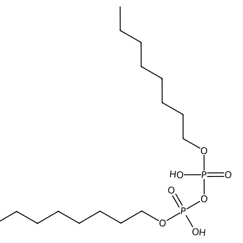 CCCCCCCCOP(=O)(O)OP(=O)(O)OCCCCCCCC